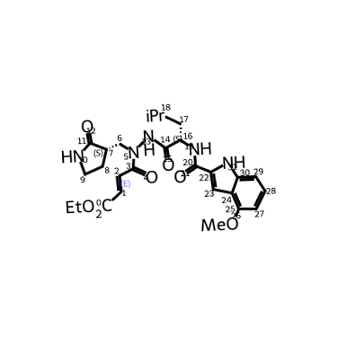 CCOC(=O)/C=C/C(=O)N(C[C@@H]1CCNC1=O)NC(=O)[C@H](CC(C)C)NC(=O)c1cc2c(OC)cccc2[nH]1